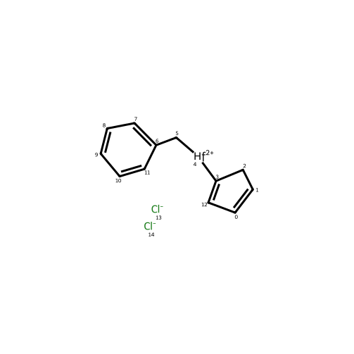 C1=CC[C]([Hf+2][CH2]c2ccccc2)=C1.[Cl-].[Cl-]